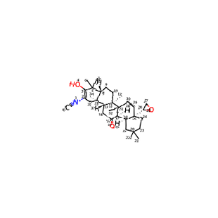 [C-]#[N+]C1=C(O)C(C)(C)[C@@H]2CC[C@]3(C)[C@H](CC(=O)[C@@H]4[C@@H]5CC(C)(C)CC[C@]5(C5CO5)CC[C@]43C)[C@@]2(C)C1